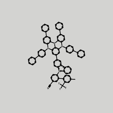 Cc1ccc(-c2cc(C#N)ccc2-n2c3ccccc3c3cc(-c4cc5c6c(c4)N(c4ccc(-c7ccccc7)cc4)c4ccc(-c7ccccc7)cc4B6c4cc(-c6ccccc6)ccc4N5c4ccc(-c5ccccc5)cc4)ccc32)c(C(F)(F)F)c1